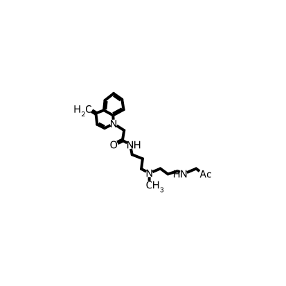 C=C1C=CN(CC(=O)NCCCN(C)CCCNCC(C)=O)c2ccccc21